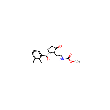 Cc1cccc(C(=O)[C@@H]2CCC(=O)C2CCNC(=O)OC(C)(C)C)c1C